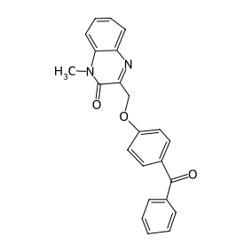 Cn1c(=O)c(COc2ccc(C(=O)c3ccccc3)cc2)nc2ccccc21